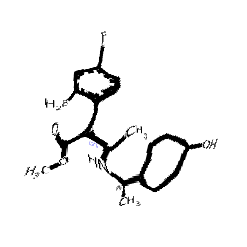 Bc1cc(F)ccc1/C(C(=O)OC)=C(\C)N[C@H](C)C1CCC(O)CC1